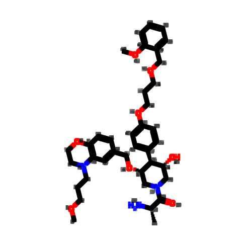 COCCCN1CCOc2ccc(CO[C@H]3CN(C(=O)[C@H](C)N)C[C@@H](O)[C@@H]3c3ccc(OCCCOCc4ccccc4OC)cc3)cc21